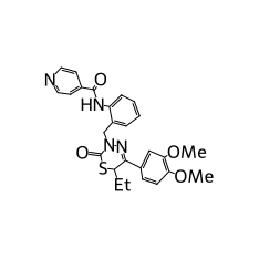 CCC1SC(=O)N(Cc2ccccc2NC(=O)c2ccncc2)N=C1c1ccc(OC)c(OC)c1